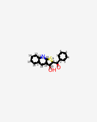 O=C(c1ccccc1)c1sc2nc3ccccc3cc2c1O